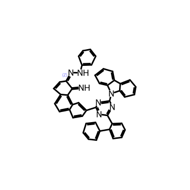 N=C1/C(=N\Nc2ccccc2)C=Cc2ccc3ccc(-c4nc(-c5ccccc5-c5ccccc5)nc(-n5c6ccccc6c6ccccc65)n4)cc3c21